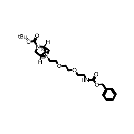 CC(C)(C)OC(=O)N1C[C@@H]2C[C@H]1CN2CCOCCOCCNC(=O)OCc1ccccc1